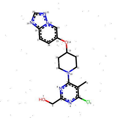 Cc1c(Cl)nc(CO)nc1N1CCC(Oc2ccc3ncnn3c2)CC1